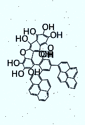 Oc1cc(-c2ccc3ccc4cccc5ccc2c3c45)cc(-c2ccc3ccc4cccc5ccc2c3c45)c1-c1c(O)c(O)c(O)c2oc3c(O)c4c(O)c(O)c(O)c(O)c4c(O)c3c12